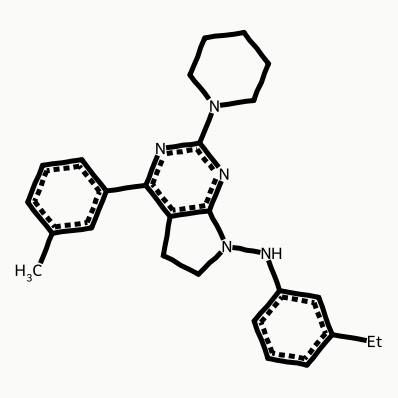 CCc1cccc(NN2CCc3c(-c4cccc(C)c4)nc(N4CCCCC4)nc32)c1